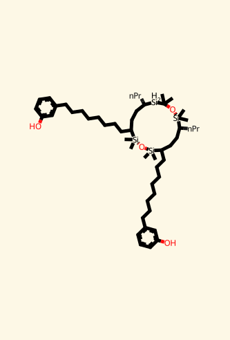 CCCC1CCC(CCCCCCCCc2cccc(O)c2)[Si](C)(C)O[Si](C)(C)C(CCCCCCCCc2cccc(O)c2)CCC(CCC)[Si](C)(C)OC(C)(C)[SiH2]1